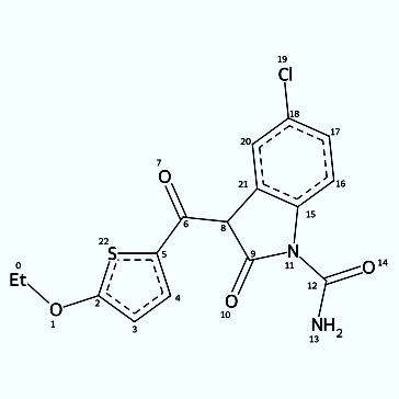 CCOc1ccc(C(=O)C2C(=O)N(C(N)=O)c3ccc(Cl)cc32)s1